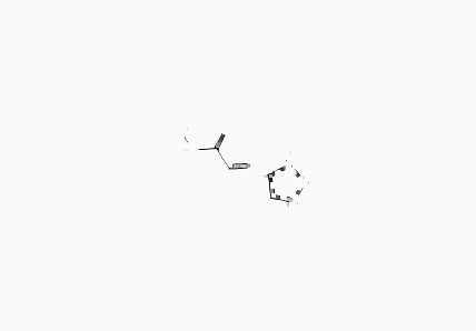 C=CC(=O)OC.c1c[nH]nn1